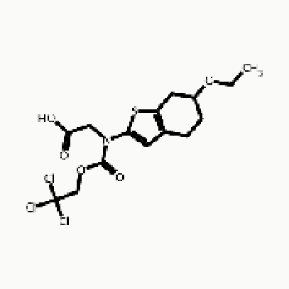 CCOC1CCc2cc(N(CC(=O)O)C(=O)OCC(Cl)(Cl)Cl)sc2C1